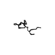 CCCCC(CC)COc1ccc(Cl)cc1Cl